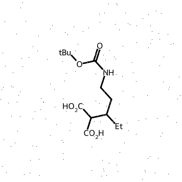 CCC(CCNC(=O)OC(C)(C)C)C(C(=O)O)C(=O)O